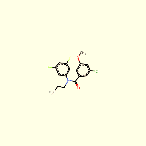 CCCN(C(=O)c1cc(Cl)cc(OC)c1)c1cc(F)cc(F)c1